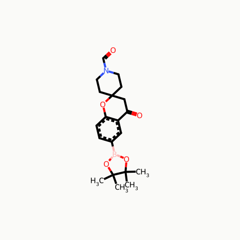 CC1(C)OB(c2ccc3c(c2)C(=O)CC2(CCN(C=O)CC2)O3)OC1(C)C